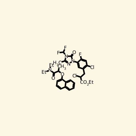 CCN(CC)C(=O)C(C)Oc1cccc2ccccc12.CCOC(=O)C(Cl)Cc1cc(-n2nc(C)n(C(F)F)c2=O)c(F)cc1Cl